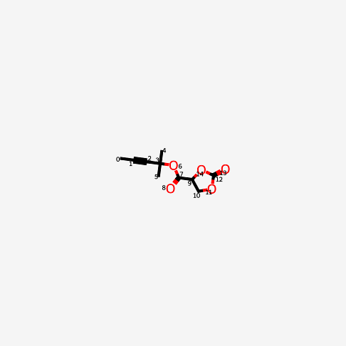 CC#CC(C)(C)OC(=O)C1COC(=O)O1